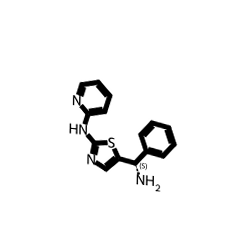 N[C@@H](c1ccccc1)c1cnc(Nc2ccccn2)s1